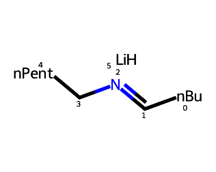 CCCCC=NCCCCCC.[LiH]